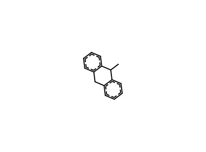 CC1c2ccccc2Cc2ccccc21